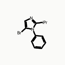 CC(C)c1ncc(Br)n1-c1ccccc1